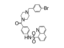 O=C(c1ccc(NS(=O)(=O)c2cccc3cccnc23)cc1)N1CCN(Cc2ccc(Br)cc2)CC1